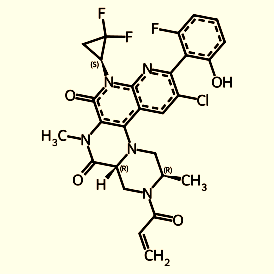 C=CC(=O)N1C[C@@H]2C(=O)N(C)c3c(c4cc(Cl)c(-c5c(O)cccc5F)nc4n([C@H]4CC4(F)F)c3=O)N2C[C@H]1C